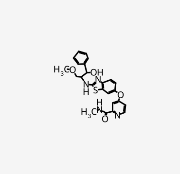 CNC(=O)c1cc(Oc2ccc3nc(NC(COC)C(O)c4ccccc4)sc3c2)ccn1